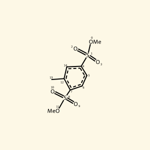 COS(=O)(=O)c1ccc(S(=O)(=O)OC)c(C)c1